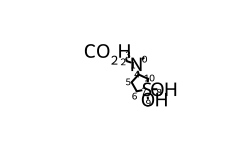 CN(CC(=O)O)C1CCS(O)(O)C1